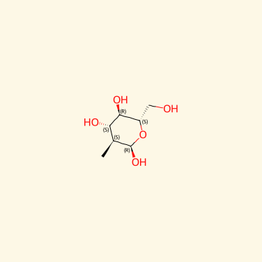 C[C@H]1[C@H](O)[C@@H](O)[C@H](CO)O[C@H]1O